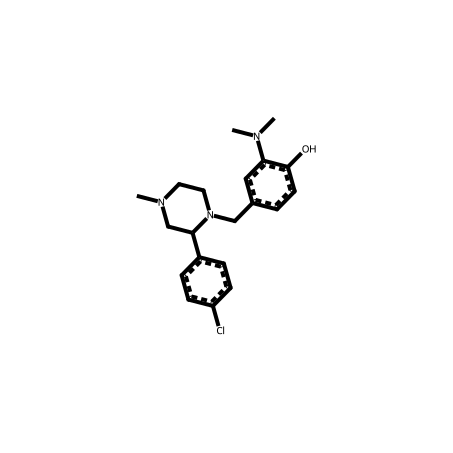 CN1CCN(Cc2ccc(O)c(N(C)C)c2)C(c2ccc(Cl)cc2)C1